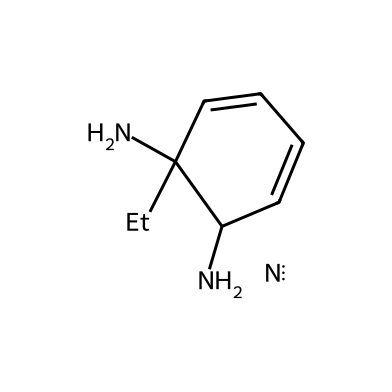 CCC1(N)C=CC=CC1N.[N]